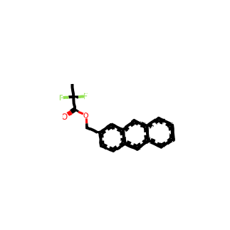 CC(F)(F)C(=O)OCc1ccc2cc3ccccc3cc2c1